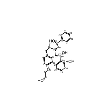 CC(Cc1ccc(OCCO)cc1)N(CC(O)c1ccccc1)C[C@H](O)c1ccccc1.Cl